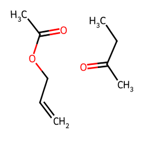 C=CCOC(C)=O.CCC(C)=O